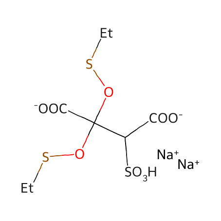 CCSOC(OSCC)(C(=O)[O-])C(C(=O)[O-])S(=O)(=O)O.[Na+].[Na+]